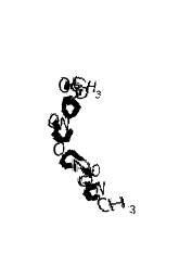 Cc1ccc(OC(=O)N2CCC(Oc3ccn(-c4ccc(S(C)(=O)=O)cc4)c(=O)c3)CC2)cn1